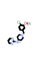 CCOc1cc(CN2CCC(Nc3ncccn3)CC2)ccc1Cl